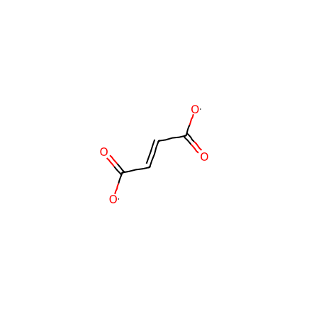 [O]C(=O)C=CC([O])=O